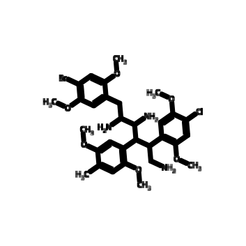 COc1cc(C(C(CN)c2cc(OC)c(Cl)cc2OC)C(N)C(N)Cc2cc(OC)c(Br)cc2OC)c(OC)cc1C